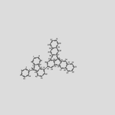 c1ccc(-n2c3ccccc3c3c(-c4cc5c6cc7ccccc7cc6n6c7cc8ccccc8cc7c(c4)c56)cccc32)cc1